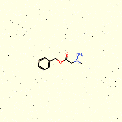 CN(N)CC(=O)OCc1ccccc1